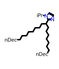 CCCCCCCCCCCCCCCCCCC(CCCCCCCCCCCCCCCCC)c1nccn1C(C)C